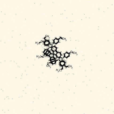 C=Cc1ccc(N(c2ccc(OC)cc2)C2(N(c3ccc(C=C)cc3)c3ccc(OC)cc3)C=CC3=C4C=CC(N(c5ccc(C=C)cc5)c5ccc(OC)cc5)(N(c5ccc(C=C)cc5)c5ccc(OC)cc5)C=C4C4(C3=C2)c2ccccc2-c2ccccc24)cc1